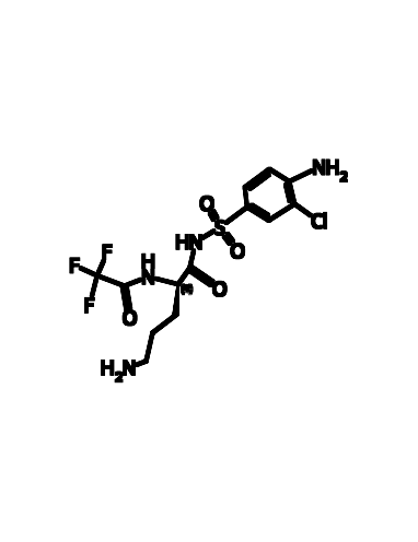 NCCC[C@@H](NC(=O)C(F)(F)F)C(=O)NS(=O)(=O)c1ccc(N)c(Cl)c1